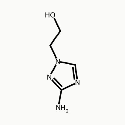 Nc1ncn(CCO)n1